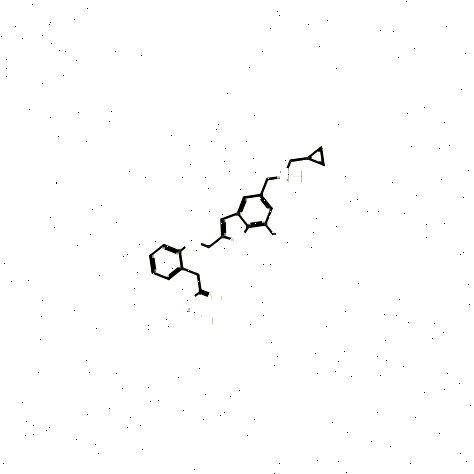 CC(C)(C)OC(=O)Cc1ccccc1OCc1cc2cc(CNCC3CC3)cc(I)c2o1